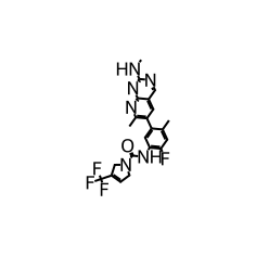 CNc1ncc2cc(-c3cc(NC(=O)N4CC=C(C(F)(F)F)C4)c(F)cc3C)c(C)nc2n1